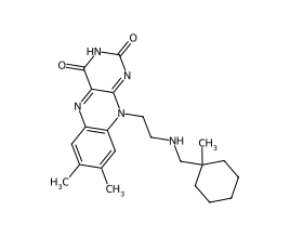 Cc1cc2nc3c(=O)[nH]c(=O)nc-3n(CCNCC3(C)CCCCC3)c2cc1C